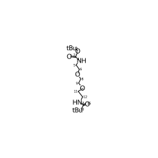 CC(C)(C)OC(=O)NCCOCCOCCNC(=O)C(C)(C)C